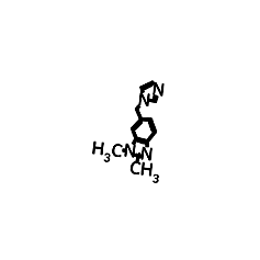 Cc1nc2ccc(Cn3ccnc3)cc2n1C